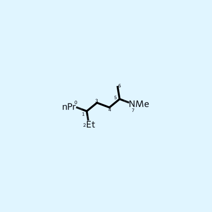 CCCC(CC)CCC(C)NC